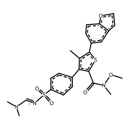 CON(C)C(=O)c1sc(-c2ccc3occc3c2)c(C)c1-c1ccc(S(=O)(=O)/N=C/N(C)C)cc1